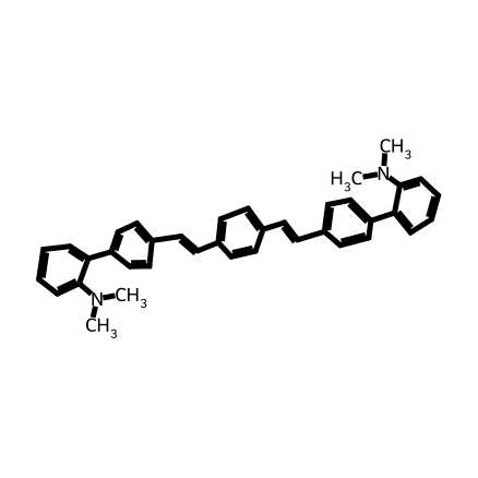 CN(C)c1ccccc1-c1ccc(C=Cc2ccc(C=Cc3ccc(-c4ccccc4N(C)C)cc3)cc2)cc1